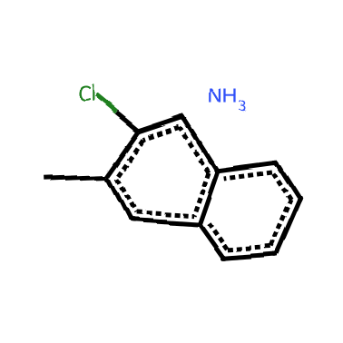 Cc1cc2ccccc2cc1Cl.N